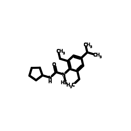 CCc1cc(C(C)C)cc(CC)c1N(S)C(=O)NC1CCCC1